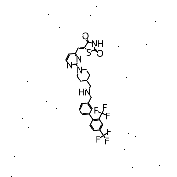 O=C1NC(=O)C(=Cc2ccnc(N3CCC(CNCc4cccc(-c5ccc(C(F)(F)F)cc5C(F)(F)F)c4)CC3)n2)S1